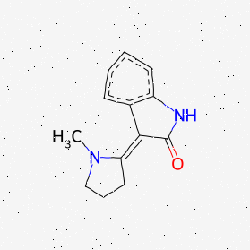 CN1CCC/C1=C1\C(=O)Nc2ccccc21